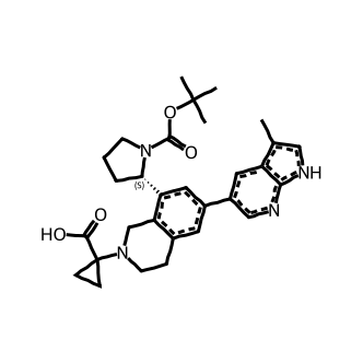 Cc1c[nH]c2ncc(-c3cc4c(c([C@@H]5CCCN5C(=O)OC(C)(C)C)c3)CN(C3(C(=O)O)CC3)CC4)cc12